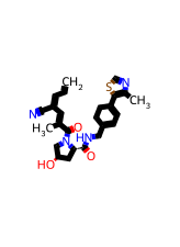 C=C/C=C(C#N)\C=C(/C)C(=O)N1C[C@H](O)C[C@H]1C(=O)NCC1=CC=C(c2scnc2C)CC1